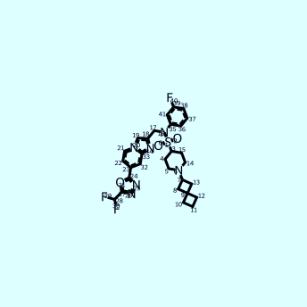 O=S(=O)(C1CCN(C2CC3(CCC3)C2)CC1)N(Cc1cn2ccc(-c3nnc(C(F)F)o3)cc2n1)c1cccc(F)c1